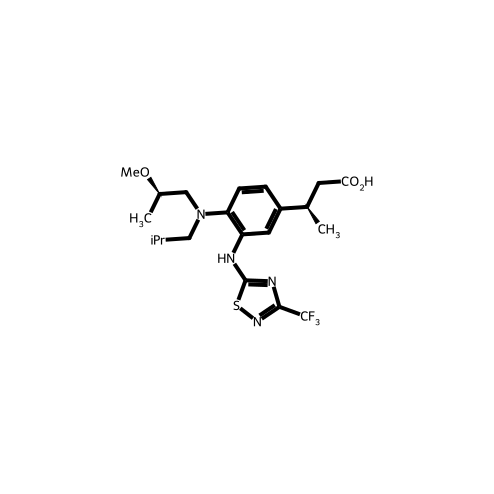 CO[C@H](C)CN(CC(C)C)c1ccc([C@H](C)CC(=O)O)cc1Nc1nc(C(F)(F)F)ns1